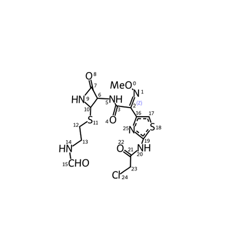 CO/N=C(\C(=O)NC1C(=O)NC1SCCNC=O)c1csc(NC(=O)CCl)n1